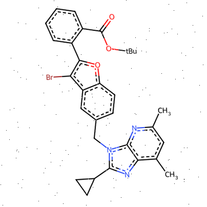 Cc1cc(C)c2nc(C3CC3)n(Cc3ccc4oc(-c5ccccc5C(=O)OC(C)(C)C)c(Br)c4c3)c2n1